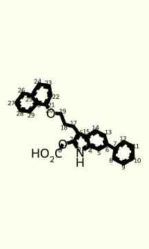 O=C(O)Oc1[nH]c2cc(-c3ccccc3)ccc2c1CCCOc1cccc2ccccc12